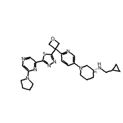 c1cc(C2(c3nnc(-c4cncc(N5CCCC5)n4)s3)COC2)ncc1N1CCC[C@@H](NCC2CC2)C1